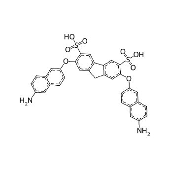 Nc1ccc2cc(Oc3cc4c(cc3S(=O)(=O)O)-c3cc(S(=O)(=O)O)c(Oc5ccc6cc(N)ccc6c5)cc3C4)ccc2c1